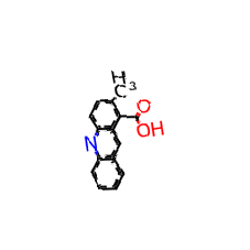 Cc1ccc2nc3ccccc3cc2c1C(=O)O